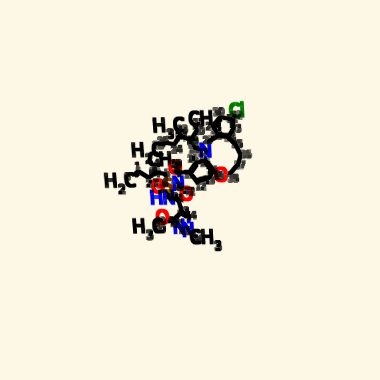 C=CC[C@H](C)CS(=O)(=NC(=O)c1ccc2c(c1)N(C[C@H](CC)[C@@H](C)CC=C)Cc1ccc(Cl)cc1CCCCO2)NC(=O)c1cn(C)nc1OC